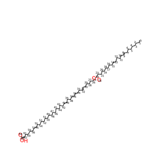 CCCCCCCCC=CCCCCCCCCCCCCCC(=O)OCCCCCCCCCCCCCCCCCCCCCCCCCCCCCCCCCCCCCC(=O)O